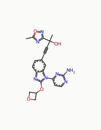 Cc1nc(C(C)(O)C#Cc2ccc3nc(OC4COC4)n(-c4ccnc(N)n4)c3c2)no1